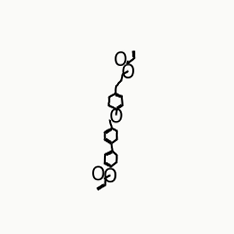 C=CC(=O)OCCCC1=CC=C(OCC2=CC=C(C3=CC=C(OC(=O)C=C)CC3)CC2)CC1